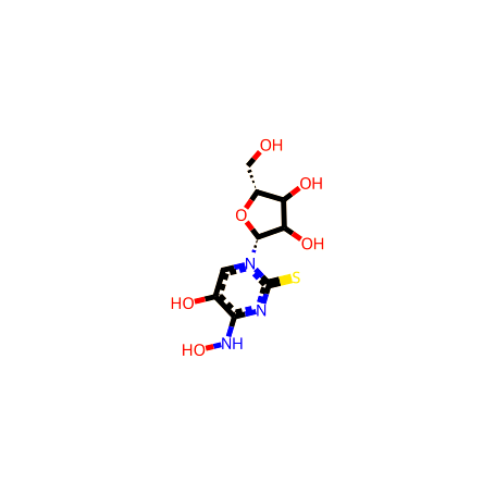 OC[C@H]1O[C@@H](n2cc(O)c(NO)nc2=S)C(O)C1O